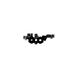 Cc1nc(OC2CCC3(C[C@H]2C)CN(C(=O)O)C3)ccc1C(F)(F)F